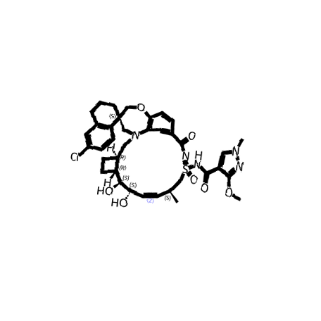 COc1nn(C)cc1C(=O)NS1(=O)=NC(=O)c2ccc3c(c2)N(C[C@@H]2CC[C@H]2[C@H](O)[C@@H](O)/C=C\[C@H](C)C1)C[C@@]1(CCCc2cc(Cl)ccc21)CO3